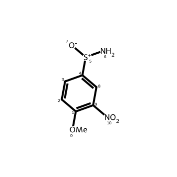 COc1ccc([S+](N)[O-])cc1[N+](=O)[O-]